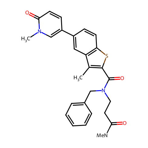 CNC(=O)CCN(Cc1ccccc1)C(=O)c1sc2ccc(-c3ccc(=O)n(C)c3)cc2c1C